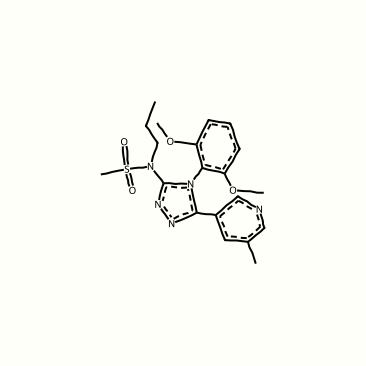 CCCN(c1nnc(-c2cncc(C)c2)n1-c1c(OC)cccc1OC)S(C)(=O)=O